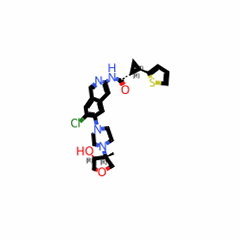 C[C@@]1(N2CCN(c3cc4cc(NC(=O)[C@@H]5C[C@H]5c5cccs5)ncc4cc3Cl)CC2)COC[C@@H]1O